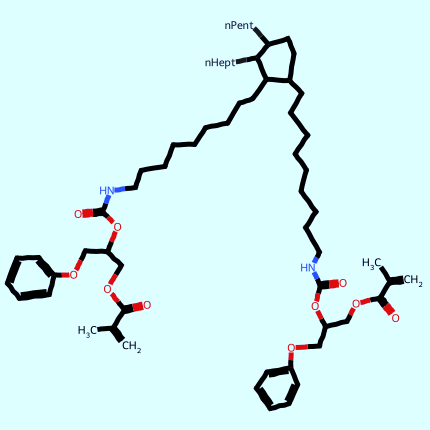 C=C(C)C(=O)OCC(COc1ccccc1)OC(=O)NCCCCCCCCCC1CCC(CCCCC)C(CCCCCCC)C1CCCCCCCCCNC(=O)OC(COC(=O)C(=C)C)COc1ccccc1